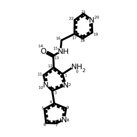 Nc1nc(-c2cccnc2)ncc1C(=O)NCc1ccncc1